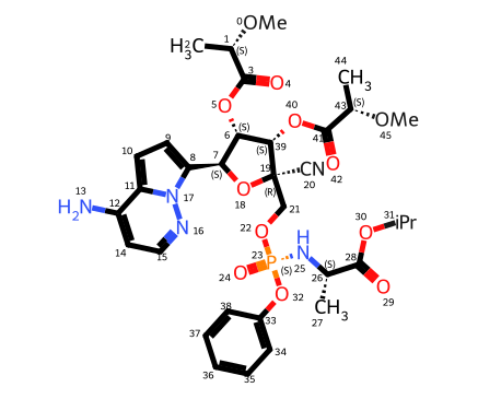 CO[C@@H](C)C(=O)O[C@H]1[C@H](c2ccc3c(N)ccnn23)O[C@](C#N)(CO[P@@](=O)(N[C@@H](C)C(=O)OC(C)C)Oc2ccccc2)[C@H]1OC(=O)[C@H](C)OC